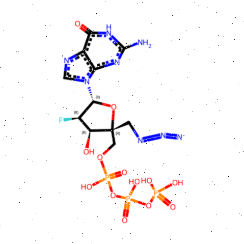 [N-]=[N+]=NC[C@]1(COP(=O)(O)OP(=O)(O)OP(=O)(O)O)O[C@@H](n2cnc3c(=O)[nH]c(N)nc32)[C@H](F)[C@@H]1O